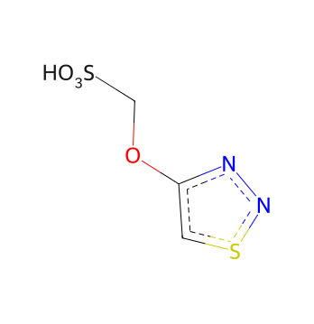 O=S(=O)(O)COc1csnn1